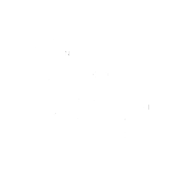 O=CC(c1ccccn1)C1(c2ccc(Cl)c(Cl)c2)CCC1